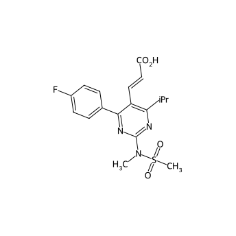 CC(C)c1nc(N(C)S(C)(=O)=O)nc(-c2ccc(F)cc2)c1C=CC(=O)O